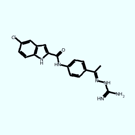 C/C(=N\NC(=N)N)c1ccc(NC(=O)c2cc3cc(Cl)ccc3[nH]2)cc1